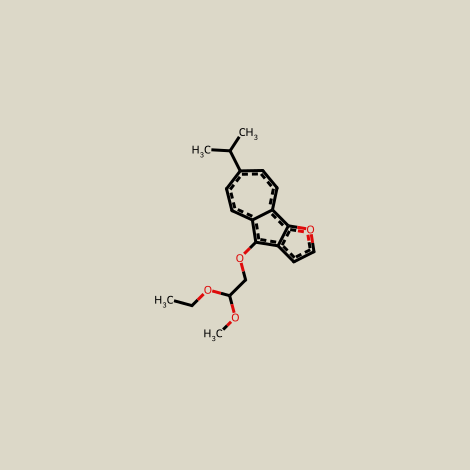 CCOC(COc1c2ccc(C(C)C)ccc-2c2occc12)OC